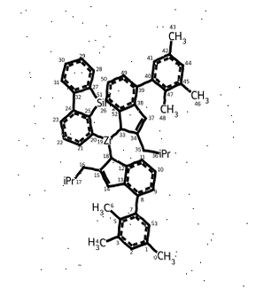 Cc1cc(C)c(C)c(-c2cccc3c2C=C(CC(C)C)[CH]3[Zr]([c]2cccc3c2[SiH2]c2ccccc2-3)[CH]2C(CC(C)C)=Cc3c(-c4cc(C)cc(C)c4C)cccc32)c1